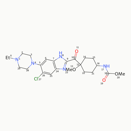 CCN1CCN(c2cc3[nH]c(C(=O)C4(OC)CCC(NC(=O)OC)CC4)nc3cc2Cl)CC1